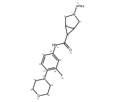 CCCCCCN1CC2C(C1)C2C(=O)Nc1ccc(N2CCOCC2)c(F)c1